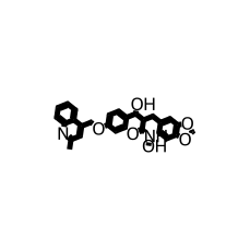 Cc1cc(COc2ccc(C(O)C(Cc3ccc4c(c3)OCO4)C(=O)NO)cc2)c2ccccc2n1